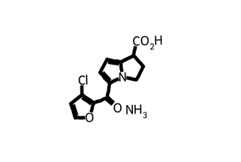 N.O=C(c1occc1Cl)c1ccc2n1CCC2C(=O)O